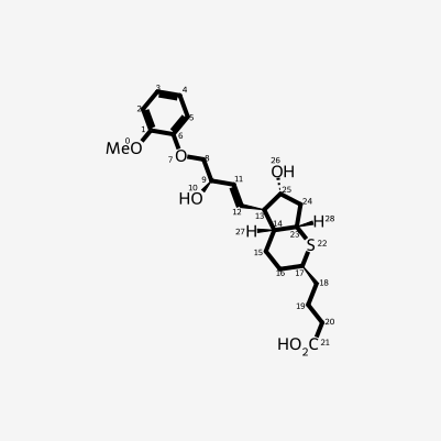 COc1ccccc1OC[C@H](O)C=C[C@@H]1[C@H]2CC[C@H](CCCC(=O)O)S[C@H]2C[C@H]1O